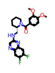 COc1ccc(C(=O)N2CCCC[C@H]2CNc2cnc3cc(F)c(F)cc3n2)cc1OC